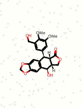 COc1cc([C@@H]2c3cc4c(cc3[C@H](O)[C@H]3COC(=O)[C@@H]23)OCO4)cc(CO)c1OC